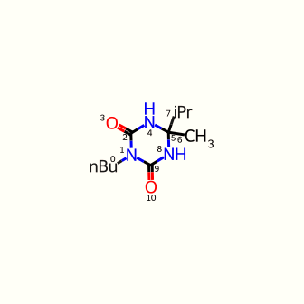 CCCCN1C(=O)NC(C)(C(C)C)NC1=O